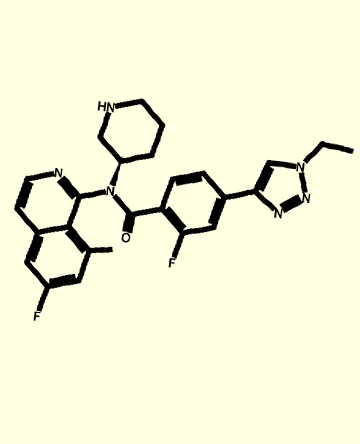 CCn1cc(-c2ccc(C(=O)N(c3nccc4cc(F)cc(C)c34)[C@@H]3CCCNC3)c(F)c2)nn1